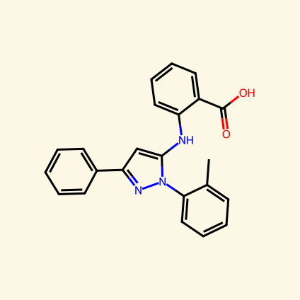 Cc1ccccc1-n1nc(-c2ccccc2)cc1Nc1ccccc1C(=O)O